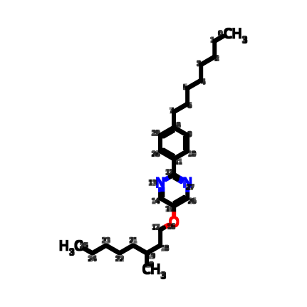 CCCCCCCCc1ccc(-c2ncc(OCCC(C)CCCCC)cn2)cc1